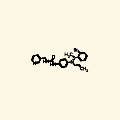 C=CCN(c1ccc(NC(=O)NCc2cccnc2)cc1)S(=C)c1ccccc1Br